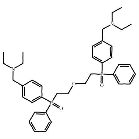 CCN(CC)Cc1ccc(P(=O)(CCOCCP(=O)(c2ccccc2)c2ccc(CN(CC)CC)cc2)c2ccccc2)cc1